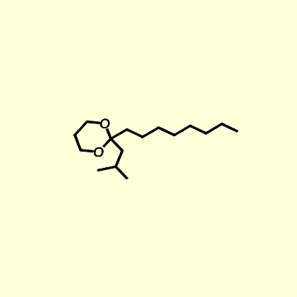 CCCCCCCCC1(CC(C)C)OCCCO1